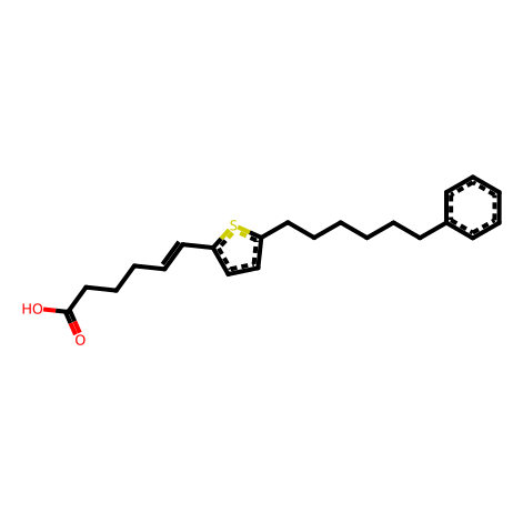 O=C(O)CCC/C=C/c1ccc(CCCCCCc2ccccc2)s1